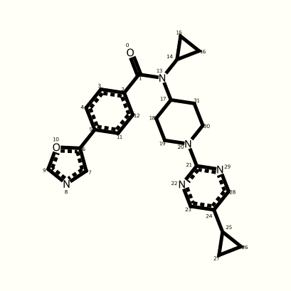 O=C(c1ccc(-c2cnco2)cc1)N(C1CC1)C1CCN(c2ncc(C3CC3)cn2)CC1